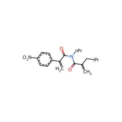 C=C(CC(C)C)C(=O)N(CCC)C(=O)C(=C)c1ccc([N+](=O)[O-])cc1